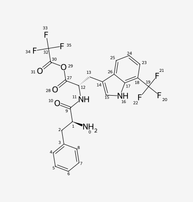 N[C@@H](Cc1ccccc1)C(=O)N[C@@H](Cc1c[nH]c2c(C(F)(F)F)cccc12)C(=O)OC(=O)C(F)(F)F